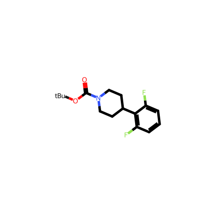 CC(C)(C)OC(=O)N1CCC(c2c(F)cccc2F)CC1